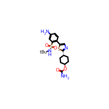 CC(C)(C)NS(=O)(=O)c1cc(N)ccc1-c1cnc([C@H]2CC[C@H](OC(N)=O)CC2)s1